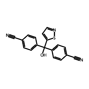 N#Cc1ccc(C(O)(c2ccc(C#N)cc2)c2ccns2)cc1